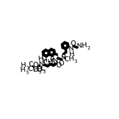 CN(CCc1ccccc1NC(=O)CN)C(=O)[C@@H](Cc1ccc2ccccc2c1)N(C)C(=O)/C=C/CC(C)(C)NC(=O)OC(C)(C)C